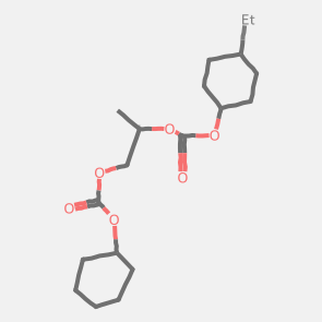 CCC1CCC(OC(=O)O[C](C)COC(=O)OC2CCCCC2)CC1